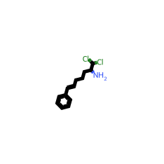 NC(CCCC=Cc1ccccc1)C(Cl)Cl